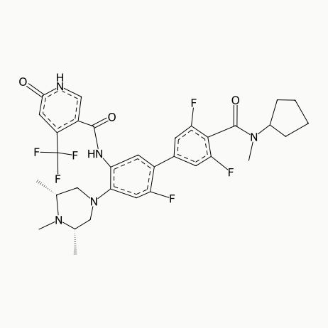 C[C@@H]1CN(c2cc(F)c(-c3cc(F)c(C(=O)N(C)C4CCCC4)c(F)c3)cc2NC(=O)c2c[nH]c(=O)cc2C(F)(F)F)C[C@H](C)N1C